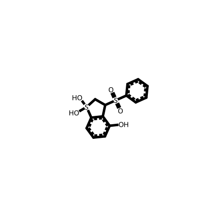 O=S(=O)(c1ccccc1)C1CS(O)(O)c2cccc(O)c21